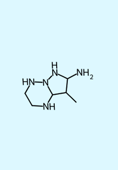 CC1C(N)NN2NCCNC12